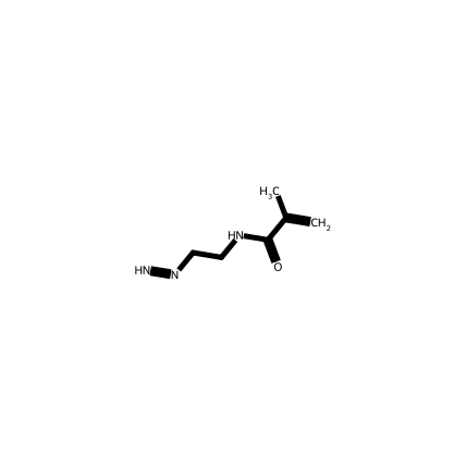 C=C(C)C(=O)NCCN=N